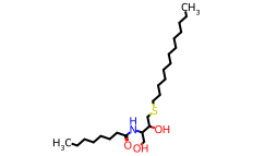 CCCCCCCCCCCCCSCC(O)C(CO)NC(=O)CCCCCCC